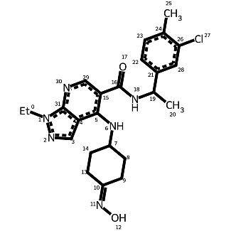 CCn1ncc2c(NC3CCC(=NO)CC3)c(C(=O)NC(C)c3ccc(C)c(Cl)c3)cnc21